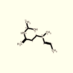 C=C(CCP(C)C=CC)NC(C)O